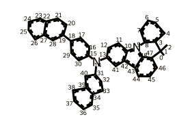 CC1(C)c2ccccc2-n2c3ccc(N(c4ccc(-c5ccc6ccccc6c5)cc4)c4ccc5ccccc5c4)cc3c3cccc1c32